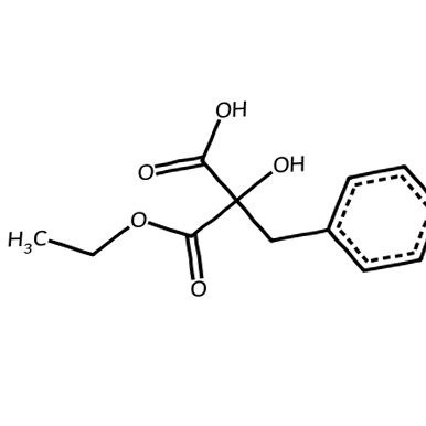 CCOC(=O)C(O)(Cc1ccccc1)C(=O)O